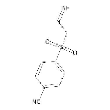 N#Cc1ccc(S(=O)(=O)CN=N)cc1